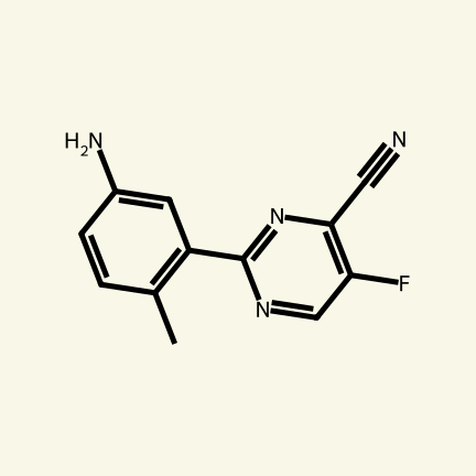 Cc1ccc(N)cc1-c1ncc(F)c(C#N)n1